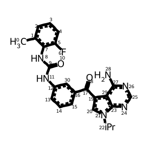 Cc1cccc(F)c1NC(=O)Nc1cccc(C(=O)c2cn(C(C)C)c3ncnc(N)c23)c1